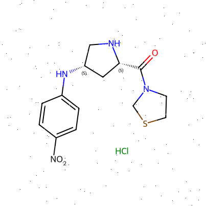 Cl.O=C([C@@H]1C[C@H](Nc2ccc([N+](=O)[O-])cc2)CN1)N1CCSC1